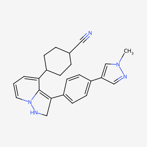 Cn1cc(-c2ccc(C3=C4C(C5CCC(C#N)CC5)=CC=CN4NC3)cc2)cn1